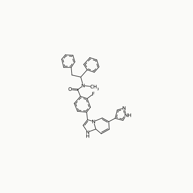 CN(C(=O)c1ccc(C2=CNC3C=CC(c4cn[nH]c4)=CN23)cc1F)C(Cc1ccccc1)c1ccccc1